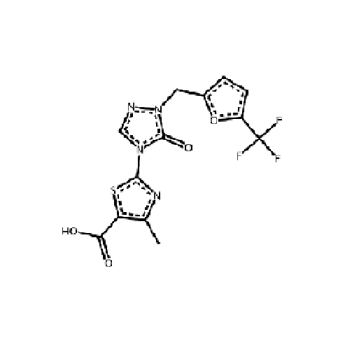 Cc1nc(-n2cnn(Cc3ccc(C(F)(F)F)o3)c2=O)sc1C(=O)O